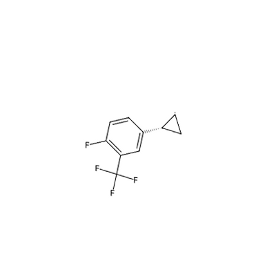 Fc1ccc([C@@H]2[CH]C2)cc1C(F)(F)F